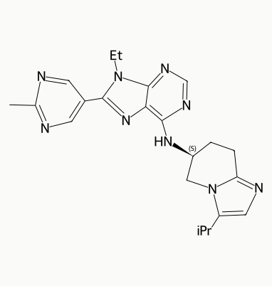 CCn1c(-c2cnc(C)nc2)nc2c(N[C@H]3CCc4ncc(C(C)C)n4C3)ncnc21